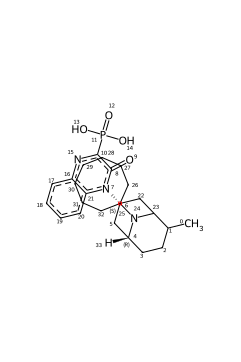 CC1CC[C@@H]2C[C@H](n3c(=O)c(P(=O)(O)O)nc4ccccc43)CC1N2C1CCCCCCC1